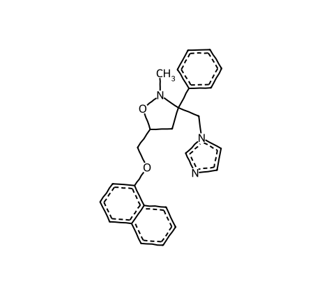 CN1OC(COc2cccc3ccccc23)CC1(Cn1ccnc1)c1ccccc1